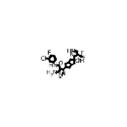 Cn1nc(C2CC3CC(O)(c4n[nH]cc4C(F)(F)F)CC3C2)c(C(=O)Nc2ccc(F)c(Cl)c2)c1N